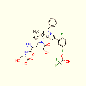 CC(C)(C)[C@H](c1cc(-c2cc(F)ccc2F)cn1Cc1ccccc1)N(CC[C@H](N)C(=O)N[C@@H](CO)C(=O)O)C(=O)CO.O=C(O)C(F)(F)F